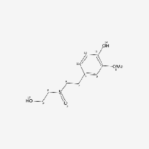 COc1cc(CCC(=O)CCO)ccc1O